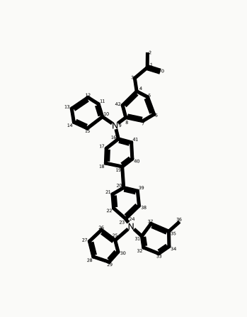 C=C(C)Cc1cccc(N(c2ccccc2)c2ccc(-c3ccc(N(c4ccccc4)c4cccc(C)c4)cc3)cc2)c1